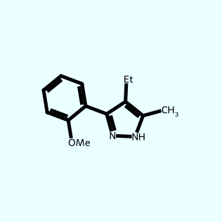 CCc1c(-c2ccccc2OC)n[nH]c1C